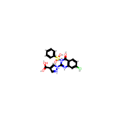 O=C(O)c1cnn(-c2nc3cc(Cl)ccc3c(=O)n2S(=O)(=O)c2ccccc2)c1